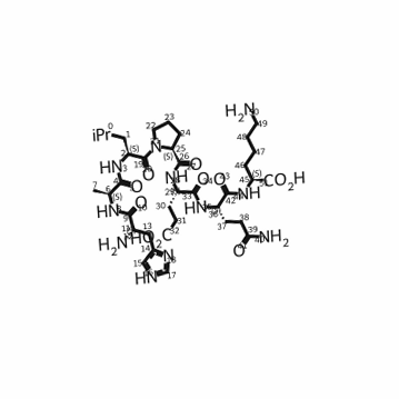 CC(C)C[C@H](NC(=O)[C@H](C)NC(=O)[C@@H](N)Cc1c[nH]cn1)C(=O)N1CCC[C@H]1C(=O)N[C@@H](CCC(=O)O)C(=O)N[C@@H](CCC(N)=O)C(=O)N[C@@H](CCCCN)C(=O)O